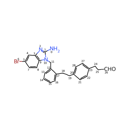 Nc1nc2cc(Br)ccc2n1Cc1ccccc1CCc1ccc(CCC=O)cc1